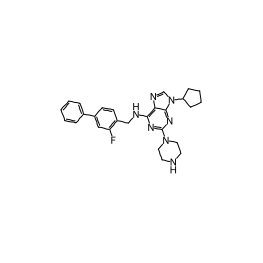 Fc1cc(-c2ccccc2)ccc1CNc1nc(N2CCNCC2)nc2c1ncn2C1CCCC1